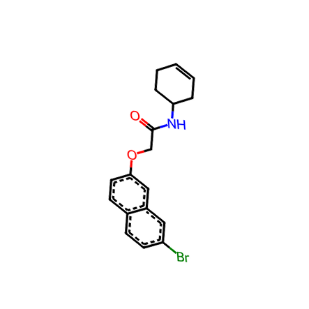 O=C(COc1ccc2ccc(Br)cc2c1)NC1CC=CCC1